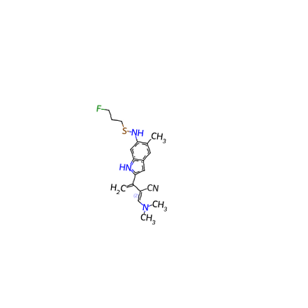 C=C(/C(C#N)=C/N(C)C)c1cc2cc(C)c(NSCCCF)cc2[nH]1